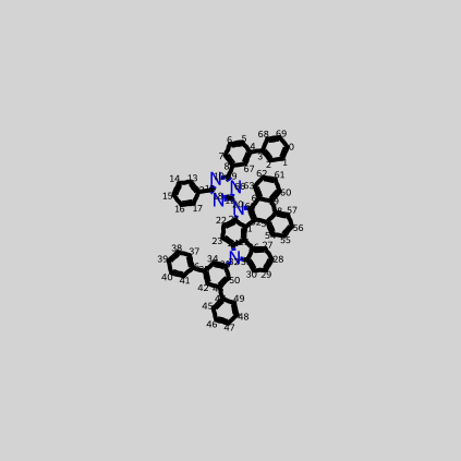 c1ccc(-c2cccc(-c3nc(-c4ccccc4)nc(-n4c5ccc6c(c7ccccc7n6-c6cc(-c7ccccc7)cc(-c7ccccc7)c6)c5c5c6ccccc6c6ccccc6c54)n3)c2)cc1